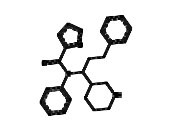 O=C(c1ccco1)N(c1ccccc1)C(CCc1ccccc1)C1CCCNC1